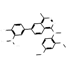 COc1ccc(N(C)c2nnc(C)c3cc(-c4ccc(N)c(B(O)O)c4)ccc23)c(OC)c1